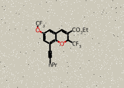 CCCC#Cc1cc(OC(F)(F)F)cc2c1OC(C(F)(F)F)C(C(=O)OCC)=C2